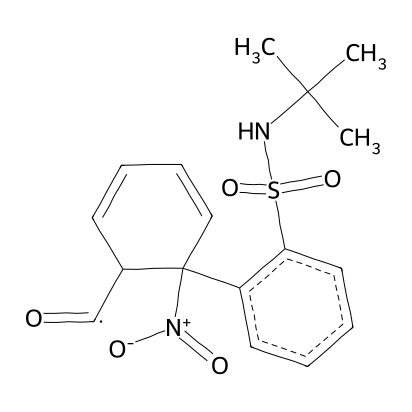 CC(C)(C)NS(=O)(=O)c1ccccc1C1([N+](=O)[O-])C=CC=CC1[C]=O